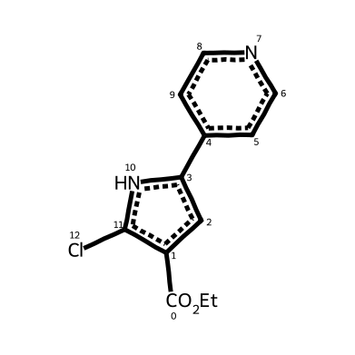 CCOC(=O)c1cc(-c2ccncc2)[nH]c1Cl